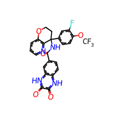 O=C(NC1(c2ccc(OC(F)(F)F)c(F)c2)CCOc2cccnc21)c1ccc2[nH]c(=O)c(=O)[nH]c2c1